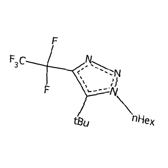 CCCCCCn1nnc(C(F)(F)C(F)(F)F)c1C(C)(C)C